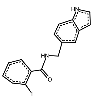 O=C(NCc1ccc2[nH]ccc2c1)c1ccccc1I